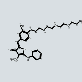 CCOC(=O)C1=C(Nc2ccccc2)S/C(=C\c2ccc(OCCOCCOCCOCCN)c(O)c2)C1=O